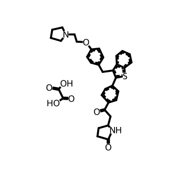 O=C(O)C(=O)O.O=C1CCC(CC(=O)c2ccc(-c3sc4ccccc4c3Cc3ccc(OCCN4CCCC4)cc3)cc2)N1